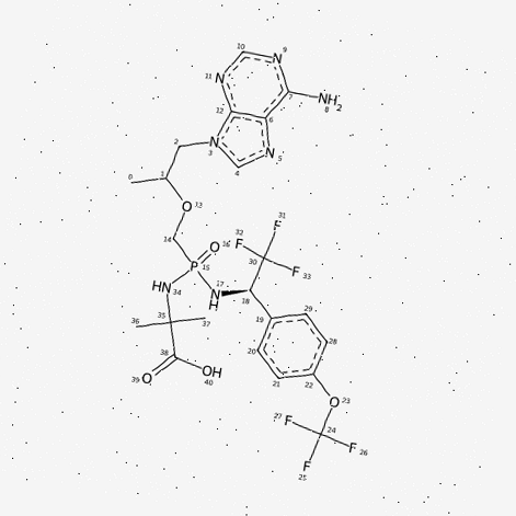 CC(Cn1cnc2c(N)ncnc21)OCP(=O)(N[C@H](c1ccc(OC(F)(F)F)cc1)C(F)(F)F)NC(C)(C)C(=O)O